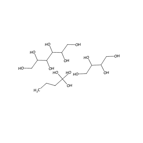 CCCC(O)(O)O.OCC(O)C(O)C(O)C(O)CO.OCC(O)C(O)CO